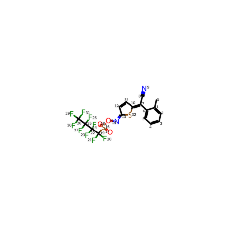 Cc1ccccc1/C(C#N)=C1C=C/C(=N\OS(=O)(=O)C(F)(F)C(F)(F)C(F)(F)C(F)(F)F)S/1